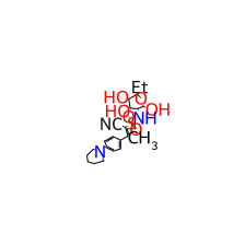 CC[C@H]1OC(O)[C@H](NS(=O)(=O)/C(C#N)=C(\C)c2ccc(N3CCCCC3)cc2)[C@@H](O)[C@@H]1O